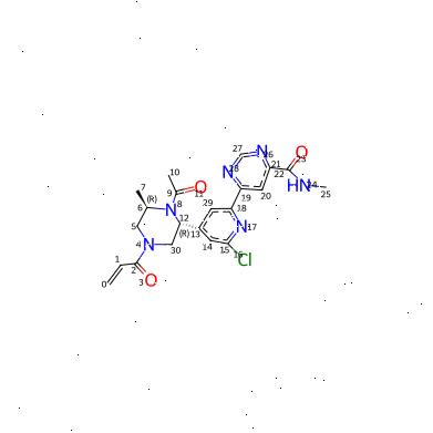 C=CC(=O)N1C[C@@H](C)N(C(C)=O)[C@H](c2cc(Cl)nc(-c3cc(C(=O)NC)ncn3)c2)C1